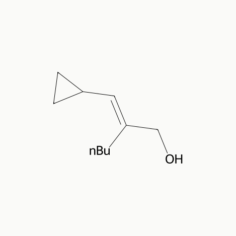 CCCC/C(=C\C1CC1)CO